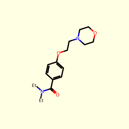 CCN(CC)C(=O)c1ccc(OCCN2CCOCC2)cc1